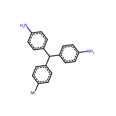 N#Cc1ccc(C(c2ccc(N)cc2)c2ccc(N)cc2)cc1